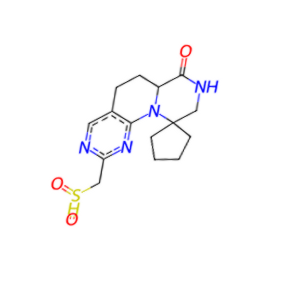 O=C1NCC2(CCCC2)N2c3nc(C[SH](=O)=O)ncc3CCC12